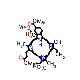 C=CC1=C(C)c2cc3[nH]c(cc4nc(cc5[nH]c(cc1n2)c(C)c5CCC(=O)O)C(CCC(=O)OC)=C4C)[C@@]1(C)C3=CC=C(C(=O)OC)[C@H]1C(=O)OC